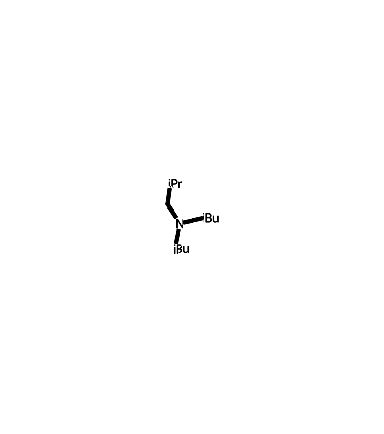 CCC(C)N(CC(C)C)C(C)CC